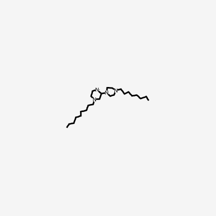 CCCCCCCCCN1CC[N]C(N2CCN(CCCCCCCC)CC2)C1